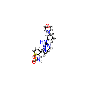 CN(Cc1ccccc1-c1ccc2cnc(Nc3cccc(N4CCOCC4)c3)nn12)[SH](=O)=O